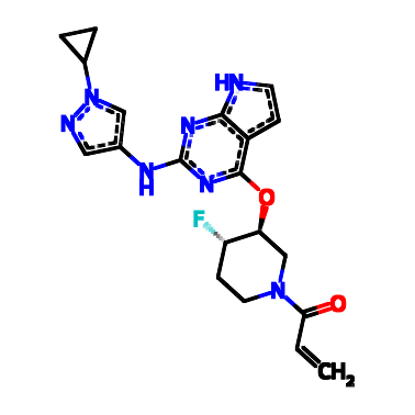 C=CC(=O)N1CC[C@H](F)[C@@H](Oc2nc(Nc3cnn(C4CC4)c3)nc3[nH]ccc23)C1